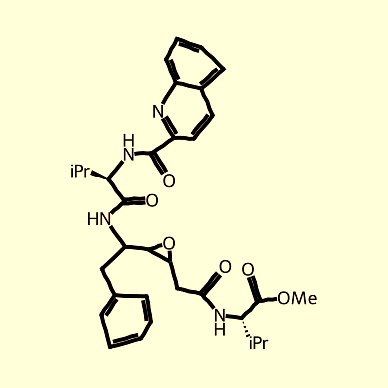 COC(=O)[C@@H](NC(=O)CC1OC1C(Cc1ccccc1)NC(=O)[C@H](NC(=O)c1ccc2ccccc2n1)C(C)C)C(C)C